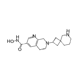 O=C(NO)c1cnc2c(c1)CCN(C1CC3(CCCNC3)C1)C2